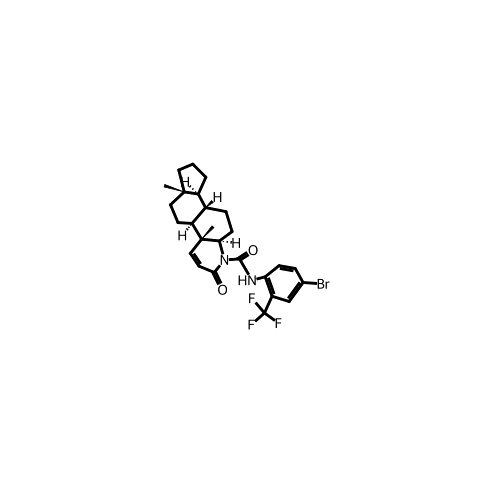 C[C@@]12CCC[C@H]1[C@@H]1CC[C@H]3N(C(=O)Nc4ccc(Br)cc4C(F)(F)F)C(=O)C=C[C@]3(C)[C@H]1CC2